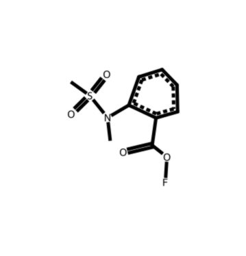 CN(c1ccccc1C(=O)OF)S(C)(=O)=O